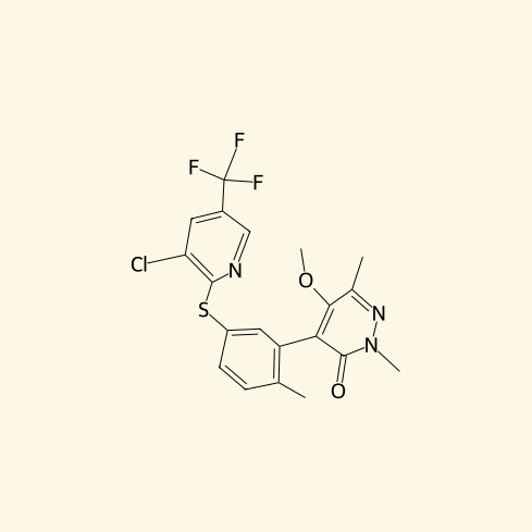 COc1c(C)nn(C)c(=O)c1-c1cc(Sc2ncc(C(F)(F)F)cc2Cl)ccc1C